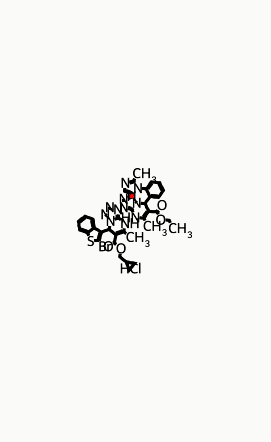 CC1=C(C(=O)OCC2CC2)C(c2c(Br)sc3ccccc23)n2nnnc2N1.CCOC(=O)C1=C(C)Nc2nnnn2C1c1ccccc1-n1ccnc1C.Cl